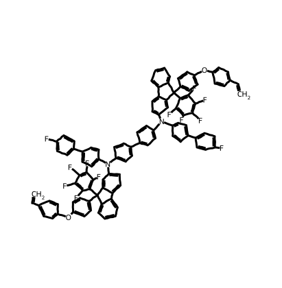 C=Cc1ccc(Oc2ccc(C3(c4c(F)c(F)c(F)c(F)c4F)c4ccccc4-c4ccc(N(c5ccc(-c6ccc(F)cc6)cc5)c5ccc(-c6ccc(N(c7ccc(-c8ccc(F)cc8)cc7)c7ccc8c(c7)C(c7ccc(Oc9ccc(C=C)cc9)cc7)(c7c(F)c(F)c(F)c(F)c7F)c7ccccc7-8)cc6)cc5)cc43)cc2)cc1